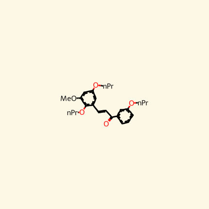 CCCOc1cccc(C(=O)C=Cc2cc(OCCC)cc(OC)c2OCCC)c1